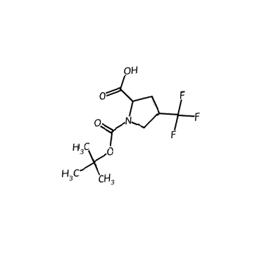 CC(C)(C)OC(=O)N1CC(C(F)(F)F)CC1C(=O)O